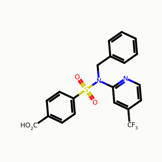 O=C(O)c1ccc(S(=O)(=O)N(Cc2ccccc2)c2cc(C(F)(F)F)ccn2)cc1